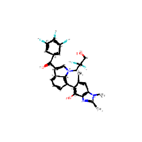 Cc1cc2c(nc(C)n2C)c(O)c1-c1cccc2c(C(=O)c3cc(F)c(F)c(F)c3)cn(CC(F)(F)CO)c12